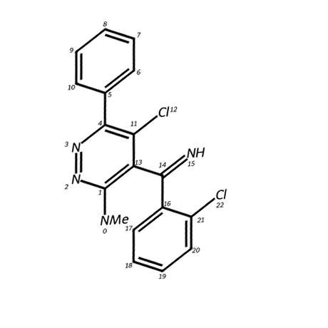 CNc1nnc(-c2ccccc2)c(Cl)c1C(=N)c1ccccc1Cl